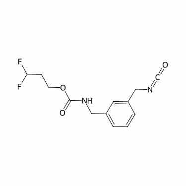 O=C=NCc1cccc(CNC(=O)OCCC(F)F)c1